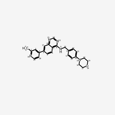 Cc1cc(-c2ccc3c(NCc4ccc(N5CCOCC5)cc4)ncnc3c2)ccn1